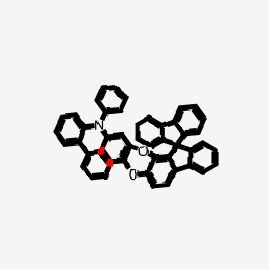 C1=C2C(=CCC1)C1(c3ccccc32)c2ccccc2-c2ccc3c(c21)Oc1cc(N(c2ccccc2)c2ccccc2-c2ccccc2)ccc1O3